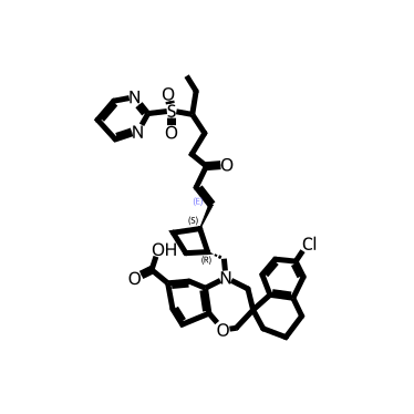 CCC(CCC(=O)/C=C/[C@@H]1CC[C@H]1CN1CC2(CCCc3cc(Cl)ccc32)COc2ccc(C(=O)O)cc21)S(=O)(=O)c1ncccn1